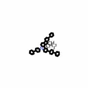 CC1(C)c2cc(-c3ccccc3)ccc2-c2ccc3c(c21)c1cc(-c2ccc(-c4ccccc4)cc2)ccc1n3-c1ccc(-c2ccccc2)cc1